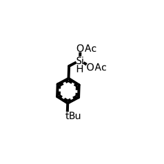 CC(=O)O[SiH](Cc1ccc(C(C)(C)C)cc1)OC(C)=O